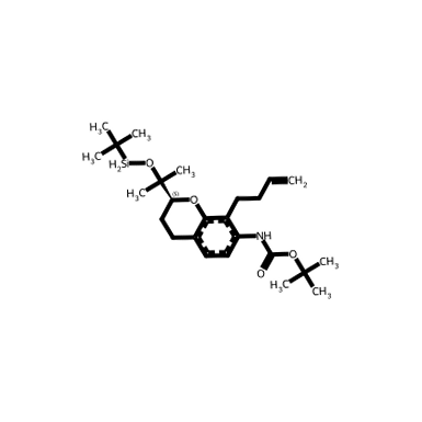 C=CCCc1c(NC(=O)OC(C)(C)C)ccc2c1O[C@H](C(C)(C)O[SiH2]C(C)(C)C)CC2